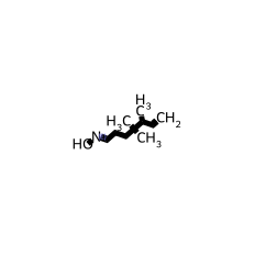 C=CC(C)C(C)(C)CC/C=N/O